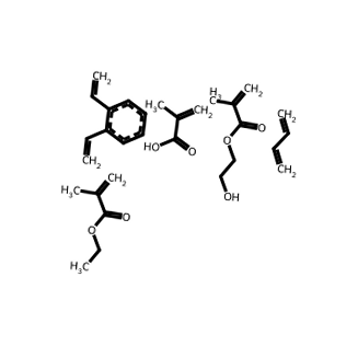 C=C(C)C(=O)O.C=C(C)C(=O)OCC.C=C(C)C(=O)OCCO.C=CC=C.C=Cc1ccccc1C=C